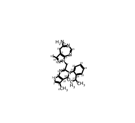 Cc1csc2nc(Cn3nc(I)c4c3N=CN=C(N)C4)n(-c3ccccc3C(C)C)c(=O)c12